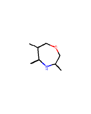 CC1COCC(C)C(C)N1